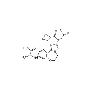 CC(Nc1ccc2c(c1)OCCn1cc(N(CC(F)F)C(=O)C3COC3)nc1-2)C(N)=O